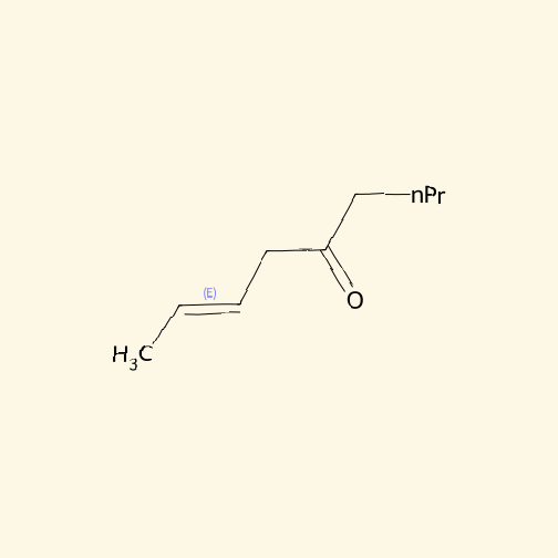 C/C=C/CC(=O)CCCC